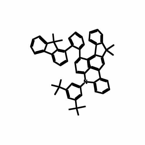 CC(C)(C)c1cc(N(c2ccc(-c3ccccc3-c3cccc4c3C(C)(C)c3ccccc3-4)cc2)c2ccccc2-c2ccc3c(c2)C(C)(C)c2ccccc2-3)cc(C(C)(C)C)c1